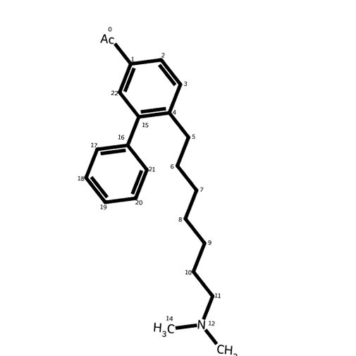 CC(=O)c1ccc(CCCCCCCN(C)C)c(-c2ccccc2)c1